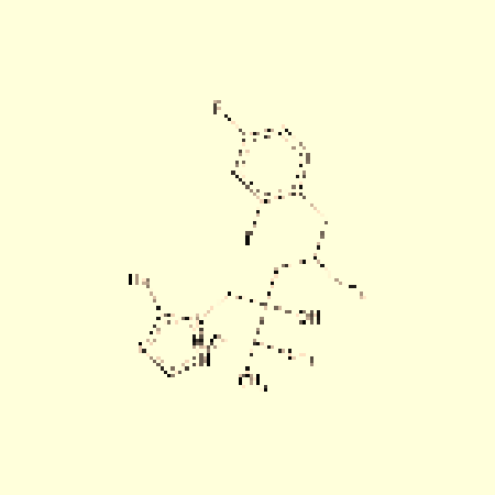 CC(Cc1ccc(F)cc1F)CC(O)(Cn1ncnc1S)C(C)(C)C